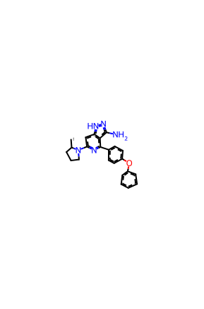 [CH]C1CCCN1c1cc2[nH]nc(N)c2c(-c2ccc(Oc3ccccc3)cc2)n1